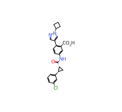 O=C(O)c1cc(NC(=O)[C@@H]2C[C@H]2c2cccc(Cl)c2)ccc1-c1cnn(C2CCC2)c1